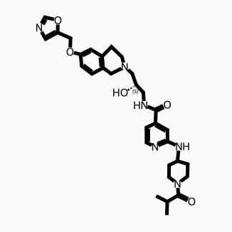 CC(C)C(=O)N1CCC(Nc2cc(C(=O)NC[C@H](O)CN3CCc4cc(OCc5cnco5)ccc4C3)ccn2)CC1